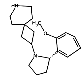 COc1ccccc1[C@@H]1CCCN1C1CC2(CCNCC2)C1